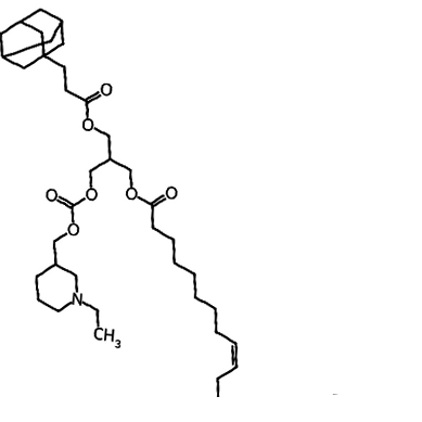 CCCCC/C=C\C/C=C\CCCCCCCC(=O)OCC(COC(=O)CCC12CC3CC(CC(C3)C1)C2)COC(=O)OCC1CCCN(CC)C1